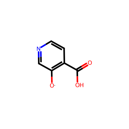 [O]c1cnccc1C(=O)O